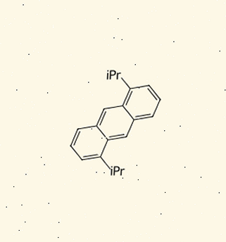 CC(C)c1cccc2cc3c(C(C)C)cccc3cc12